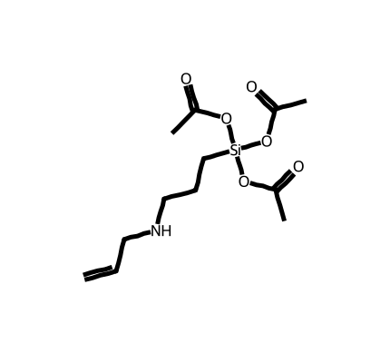 C=CCNCCC[Si](OC(C)=O)(OC(C)=O)OC(C)=O